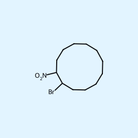 O=[N+]([O-])C1CCCCCCCCCCC1Br